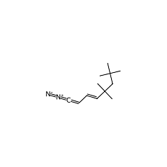 CC(C)(C)CC(C)(C)C=CC=C=[N+]=[N-]